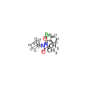 CC1(C)C(=O)N(C2C3CC4CC(C3)CC2C4)N1C(=O)c1ccccc1Br